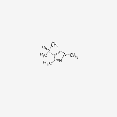 Cc1nn(C)cc1P(C)(C)=O